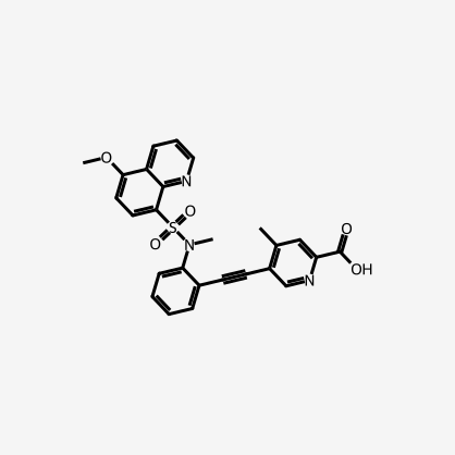 COc1ccc(S(=O)(=O)N(C)c2ccccc2C#Cc2cnc(C(=O)O)cc2C)c2ncccc12